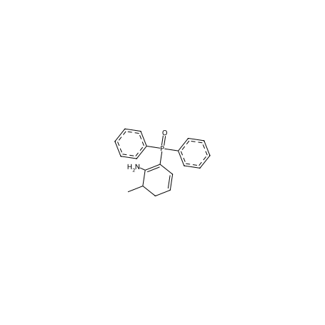 CC1CC=CC(P(=O)(c2ccccc2)c2ccccc2)=C1N